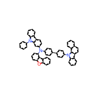 c1ccc(-n2c3ccccc3c3ccc(N(c4ccc(-c5ccc(-n6c7ccccc7c7ccc8ccccc8c76)cc5)cc4)c4cccc5oc6ccccc6c45)cc32)cc1